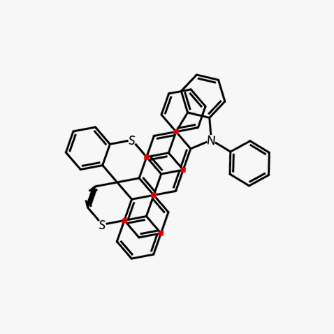 c1ccc(-c2ccc(-c3ccccc3)c3c2Sc2ccccc2C32c3ccccc3Sc3cccc(-c4ccc5c6ccccc6n(-c6ccccc6)c5c4)c32)cc1